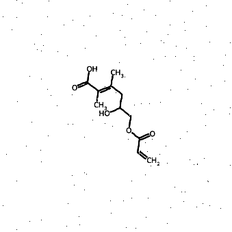 C=CC(=O)OCC(O)CC(C)=C(C)C(=O)O